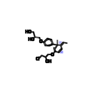 C=C(/C=C\C(=C/C)C(C)(C)c1ccc(OCC(O)CO)cc1)OCC(O)CCl